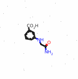 NC(=O)CNc1cccc(C(=O)O)c1